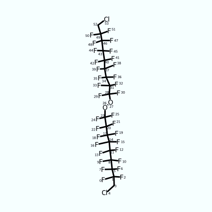 FC(F)(CCl)C(F)(F)C(F)(F)C(F)(F)C(F)(F)C(F)(F)C(F)(F)C(F)(F)OOC(F)(F)C(F)(F)C(F)(F)C(F)(F)C(F)(F)C(F)(F)C(F)(F)C(F)(F)CCl